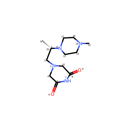 C[C@@H](CN1CC(=O)NC(=O)C1)N1CCN(C)CC1